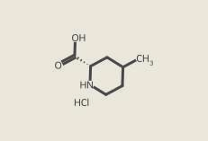 CC1CCN[C@H](C(=O)O)C1.Cl